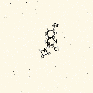 Clc1nc2cc(Br)cnc2nc1N1C[CH]C1